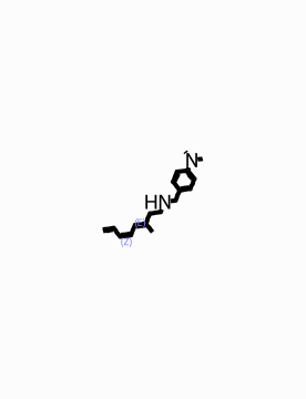 C=C/C=C\C=C(/C)CCNCc1ccc(N(C)C)cc1